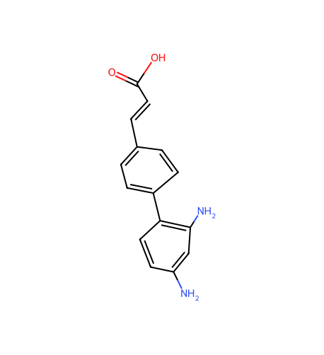 Nc1ccc(-c2ccc(C=CC(=O)O)cc2)c(N)c1